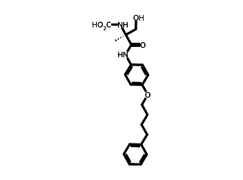 C[C@@](CO)(NC(=O)O)C(=O)Nc1ccc(OCCCCc2ccccc2)cc1